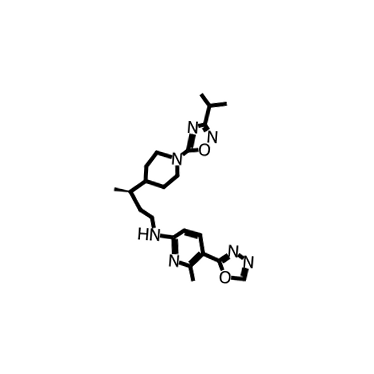 Cc1nc(NCC[C@@H](C)C2CCN(c3nc(C(C)C)no3)CC2)ccc1-c1nnco1